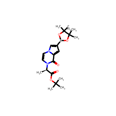 C[C@H](C(=O)OC(C)(C)C)n1ccn2cc(B3OC(C)(C)C(C)(C)O3)cc2c1=O